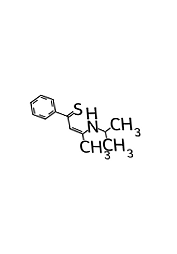 CC(=CC(=S)c1ccccc1)NC(C)C